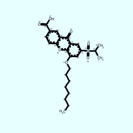 CCCCCCCCOc1cc(S(=O)(=O)C(C)C)cc2c(=O)c3cc(C(=O)O)ccc3oc12